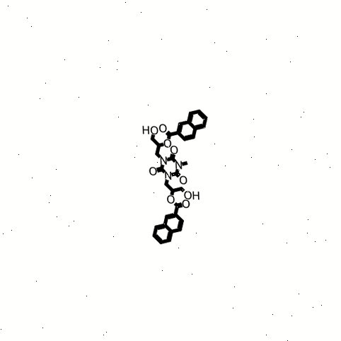 Cn1c(=O)n(CC(CO)OC(=O)c2ccc3ccccc3c2)c(=O)n(CC(CO)OC(=O)c2ccc3ccccc3c2)c1=O